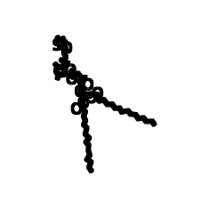 CCCCCCCCCCCCCCCC(=O)OCC(COC(=O)CCCCCCCCCCCCCCC)OC(=O)CC(C)CC(=O)Oc1cc(C)cc(C)c1C(C)(C)CCO[Si](C)(C)C(C)(C)C